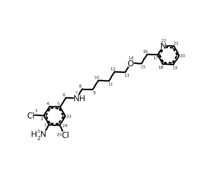 Nc1c(Cl)cc(CNCCCCCCOCCc2ccccn2)cc1Cl